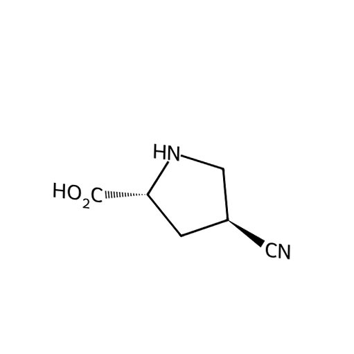 N#C[C@@H]1CN[C@@H](C(=O)O)C1